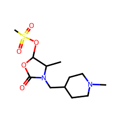 CC1C(OS(C)(=O)=O)OC(=O)N1CC1CCN(C)CC1